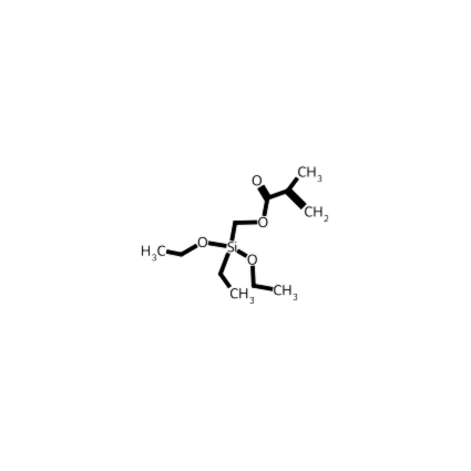 C=C(C)C(=O)OC[Si](CC)(OCC)OCC